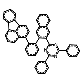 c1ccc(-c2nc(-c3ccccc3)nc(-c3cc4ccccc4cc3-c3ccccc3-c3ccc4c5c(cccc35)-c3ccccc3-4)n2)cc1